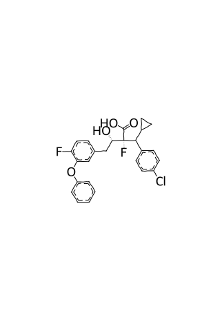 O=C(O)[C@@](F)(C(c1ccc(Cl)cc1)C1CC1)[C@@H](O)Cc1ccc(F)c(Oc2ccccc2)c1